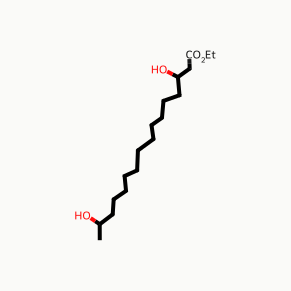 CCOC(=O)CC(O)CCCCCCCCCCCC(C)O